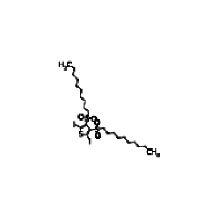 CCCCCCCCCCS(=O)(=O)c1c(I)sc(I)c1S(=O)(=O)CCCCCCCCCC